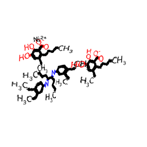 CCCCC(=Nc1ccc(CC)c(CC)c1)C(CCCC)=Nc1ccc(CC)c(CC)c1.CCCCCc1c(CC)cc(O)c(O)c1C(=O)[O-].CCCCCc1c(CC)cc(O)c(O)c1C(=O)[O-].[Ni+2]